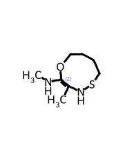 CN/C1=C(\C)NSCCCCO1